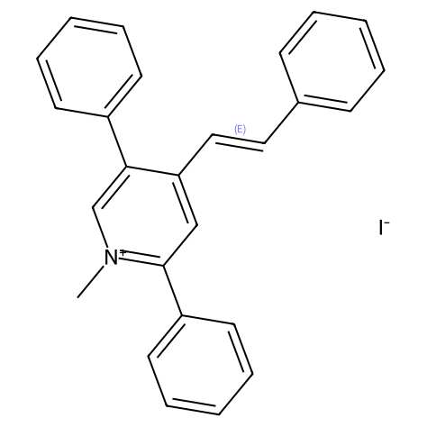 C[n+]1cc(-c2ccccc2)c(/C=C/c2ccccc2)cc1-c1ccccc1.[I-]